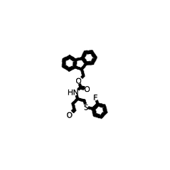 O=CCC(CSc1ccccc1F)NC(=O)OCC1c2ccccc2-c2ccccc21